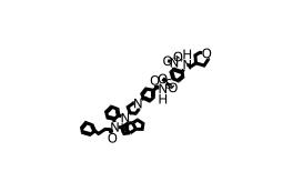 O=C(NS(=O)(=O)c1ccc(NCC2CCOCC2)c([N+](=O)[O-])c1)c1ccc(N2CCC(Nc3ccccc3N(C(=O)CCc3ccccc3)C3CC4CC3C3CCCC43)CC2)cc1